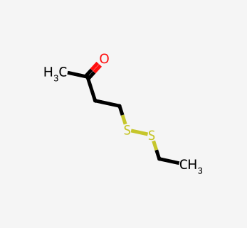 CCSSCCC(C)=O